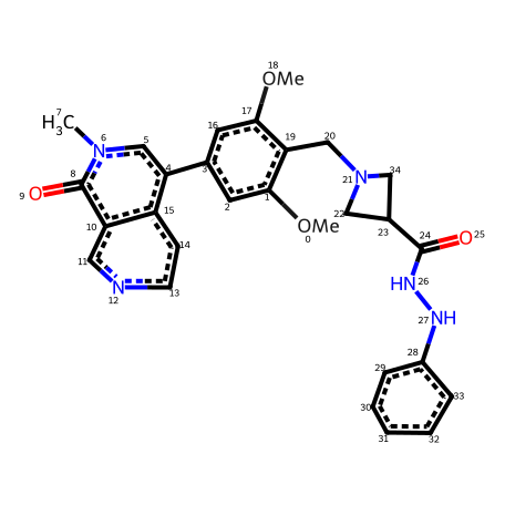 COc1cc(-c2cn(C)c(=O)c3cnccc23)cc(OC)c1CN1CC(C(=O)NNc2ccccc2)C1